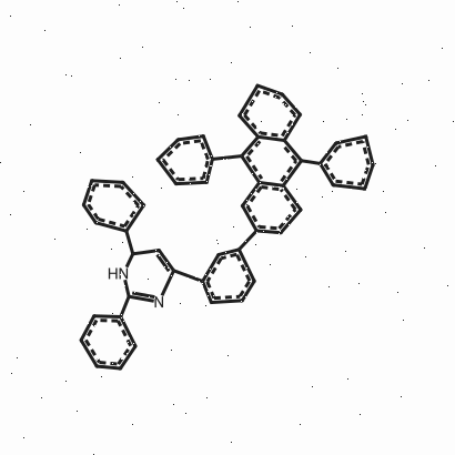 C1=C(c2cccc(-c3ccc4c(-c5ccccc5)c5ccccc5c(-c5ccccc5)c4c3)c2)N=C(c2ccccc2)NC1c1ccccc1